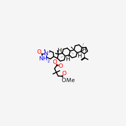 C=C(C)[C@@H]1CC[C@]2(C)CC[C@]3(C)[C@H](CC[C@@H]4[C@@]5(C)CC[C@@](OC(=O)CC(C)(C)CC(=O)OC)(C6CC[N+](C)(C(N)=O)CC6)C(C)(C)[C@@H]5CC[C@]43C)[C@@H]12